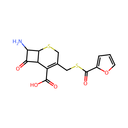 NC1C(=O)C2C(C(=O)O)=C(CSC(=O)c3ccco3)CSC12